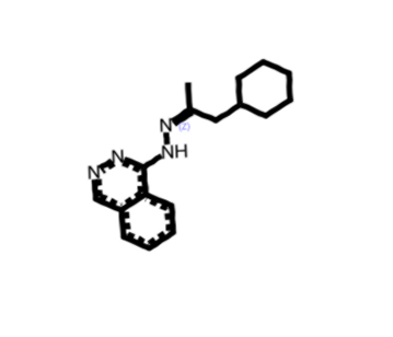 C/C(CC1CCCCC1)=N/Nc1nncc2ccccc12